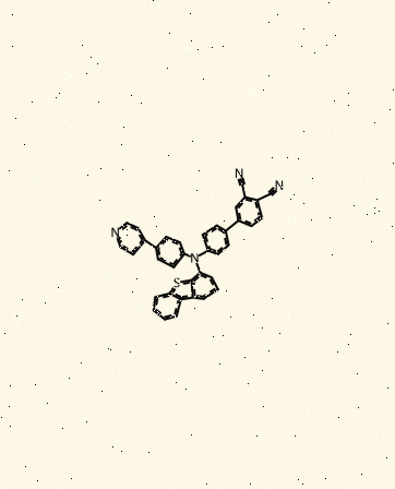 N#Cc1ccc(-c2ccc(N(c3ccc(-c4ccncc4)cc3)c3cccc4c3sc3ccccc34)cc2)cc1C#N